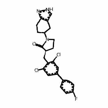 O=C1[C@H](Cc2c(Cl)cc(-c3ccc(F)cc3)cc2Cl)CCN1C1CCc2n[nH]cc2C1